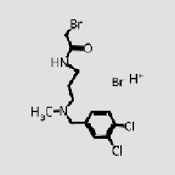 CN(CCCNC(=O)CBr)Cc1ccc(Cl)c(Cl)c1.[Br-].[H+]